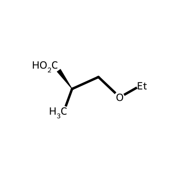 CCOC[C@@H](C)C(=O)O